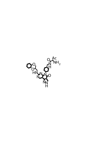 CC(=O)C(N)C(=O)NCc1ccc(-n2c(=O)c3c[nH]nc3c3cnc(NCC4COc5ccccc5O4)nc32)cc1